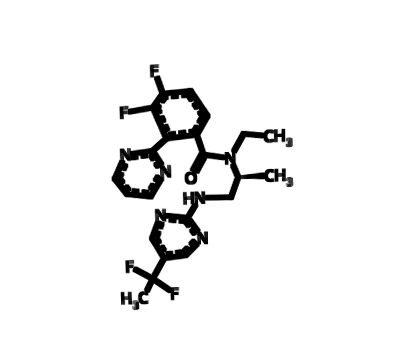 CCN(C(=O)c1ccc(F)c(F)c1-c1ncccn1)[C@@H](C)CNc1ncc(C(C)(F)F)cn1